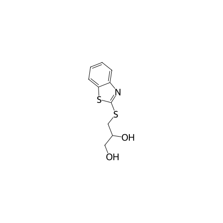 OCC(O)CSc1nc2ccccc2s1